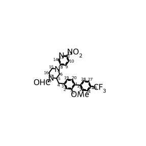 COc1cc(CC2CN(c3ccc([N+](=O)[O-])nc3)CCN2C=O)ccc1-c1ccc(C(F)(F)F)cc1